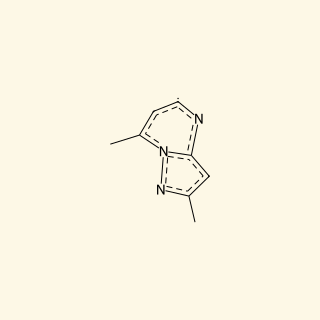 Cc1cc2n[c]cc(C)n2n1